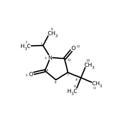 CC(C)N1C(=O)CC(C(C)(C)C)C1=O